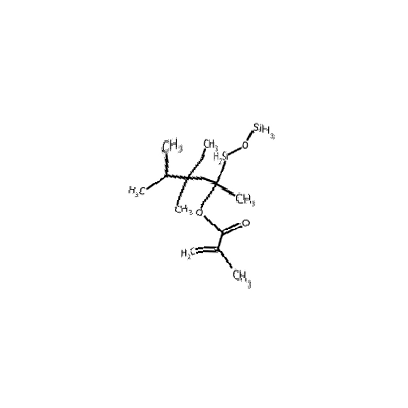 C=C(C)C(=O)OC(C)([SiH2]O[SiH3])C(C)(C)C(C)C